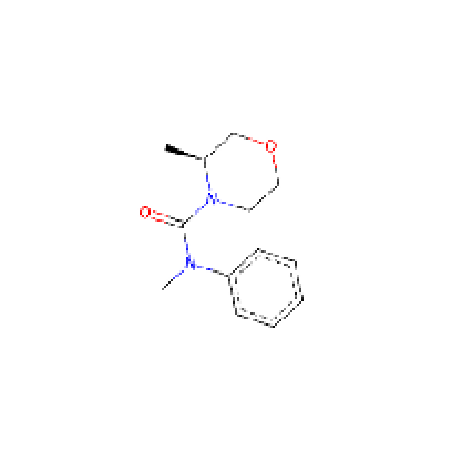 C[C@H]1COCCN1C(=O)N(C)c1ccccc1